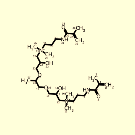 C=C(C)C(=O)NCCC[N+](C)(C)CC(O)COCC(C)OCC(O)C[N+](C)(C)CCCNC(=O)C(=C)C